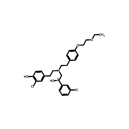 CCOCCOc1ccc(CCN(CCc2ccc(O)c(Cl)c2)C[C@H](O)c2cccc(Cl)c2)cc1